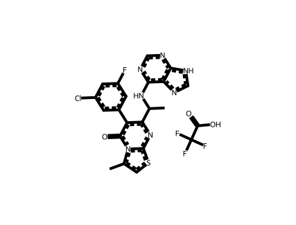 Cc1csc2nc(C(C)Nc3ncnc4[nH]cnc34)c(-c3cc(F)cc(Cl)c3)c(=O)n12.O=C(O)C(F)(F)F